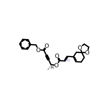 C[C@H](C#CC(=O)OCc1ccccc1)OC(=O)/C=C/C1=CCCC2(C1)OCCO2